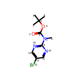 CN(C(=O)OC(C)(C)C)c1ncc(Br)cn1